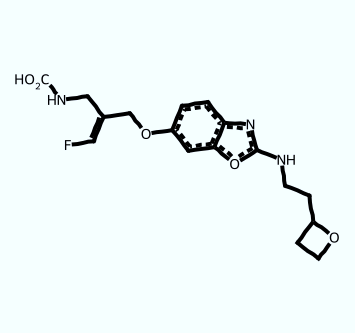 O=C(O)NCC(=CF)COc1ccc2nc(NCCC3CCO3)oc2c1